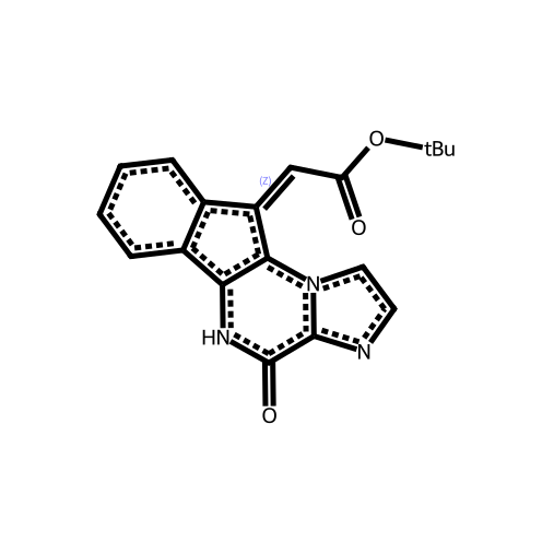 CC(C)(C)OC(=O)/C=c1/c2ccccc2c2[nH]c(=O)c3nccn3c12